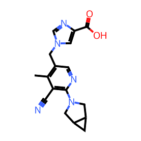 Cc1c(Cn2cnc(C(=O)O)c2)cnc(N2CC3CC3C2)c1C#N